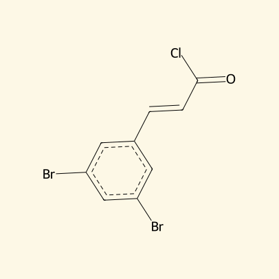 O=C(Cl)C=Cc1cc(Br)cc(Br)c1